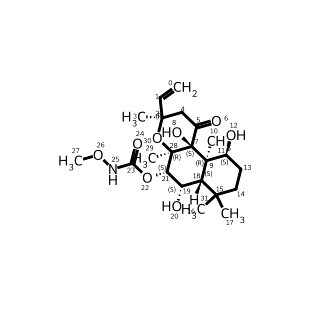 C=C[C@@]1(C)CC(=O)[C@]2(O)[C@@]3(C)[C@@H](O)CCC(C)(C)[C@@H]3[C@H](O)[C@H](OC(=O)NOC)[C@@]2(C)O1